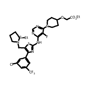 CCOC(=O)COC1CCN(c2ncnc(Nc3nc(-c4cc(Cl)cc(C(F)(F)F)c4)c(CN4CCC[C@H]4CC)s3)c2F)CC1